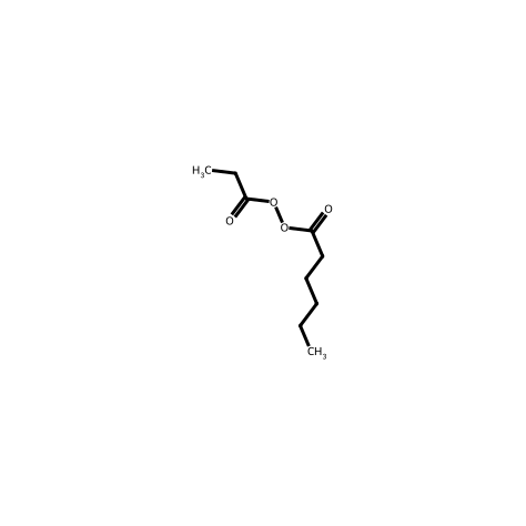 CCCCCC(=O)OOC(=O)CC